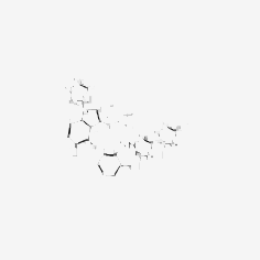 Cc1ccccc1N.Cl.O=P(O)(O)Oc1c[nH]c2ccc(Br)c(Cl)c12.c1nnn[nH]1.c1nnn[nH]1.c1nnn[nH]1